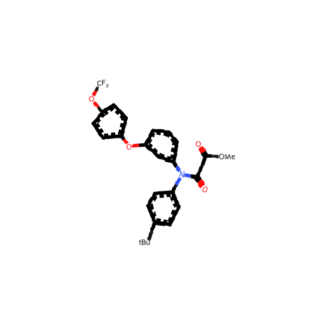 COC(=O)C(=O)N(c1ccc(C(C)(C)C)cc1)c1cccc(Oc2ccc(OC(F)(F)F)cc2)c1